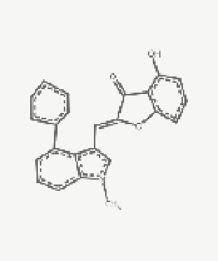 Cn1cc(/C=C2\Oc3cccc(O)c3C2=O)c2c(-c3ccccc3)cccc21